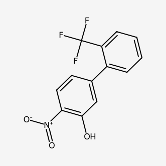 O=[N+]([O-])c1ccc(-c2ccccc2C(F)(F)F)cc1O